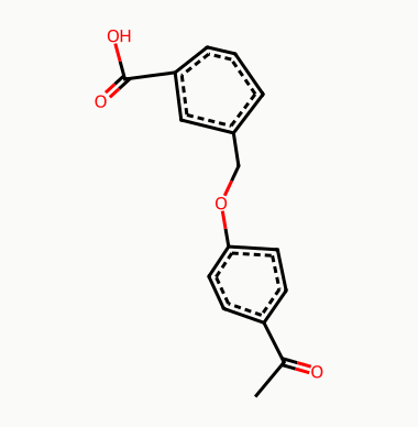 CC(=O)c1ccc(OCc2cccc(C(=O)O)c2)cc1